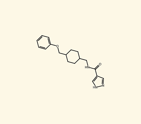 O=C(NCC1CCC(COc2ccccc2)CC1)c1cn[nH]c1